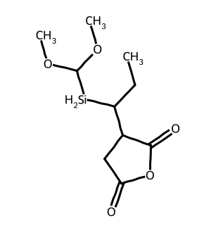 CCC([SiH2]C(OC)OC)C1CC(=O)OC1=O